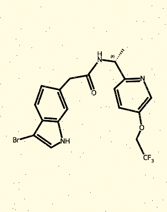 C[C@@H](NC(=O)Cc1ccc2c(Br)c[nH]c2c1)c1ccc(OCC(F)(F)F)cn1